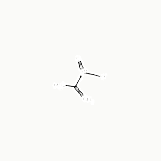 [CH2]C(=C)[N+](=O)[O-]